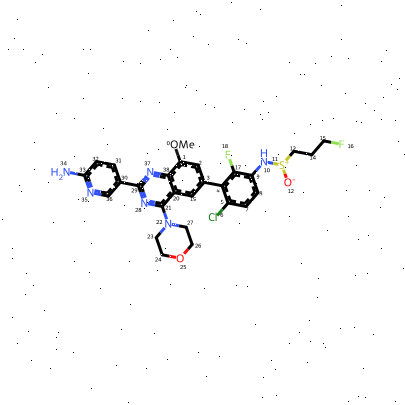 COc1cc(-c2c(Cl)ccc(N[S+]([O-])CCCF)c2F)cc2c(N3CCOCC3)nc(-c3ccc(N)nc3)nc12